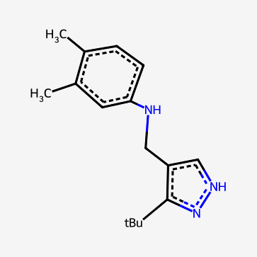 Cc1ccc(NCc2c[nH]nc2C(C)(C)C)cc1C